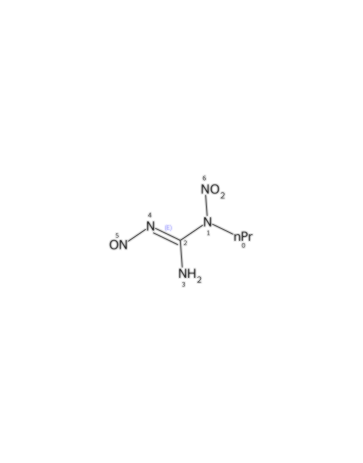 CCCN(/C(N)=N/N=O)[N+](=O)[O-]